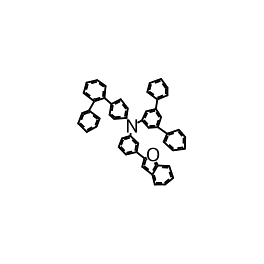 c1ccc(-c2cc(-c3ccccc3)cc(N(c3ccc(-c4ccccc4-c4ccccc4)cc3)c3cccc(-c4cc5ccccc5o4)c3)c2)cc1